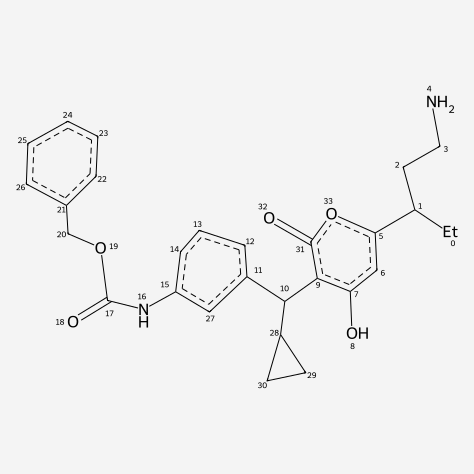 CCC(CCN)c1cc(O)c(C(c2cccc(NC(=O)OCc3ccccc3)c2)C2CC2)c(=O)o1